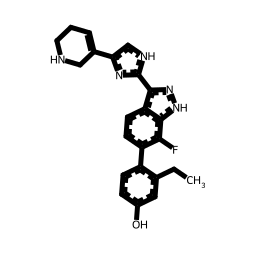 CCc1cc(O)ccc1-c1ccc2c(-c3nc(C4=CCCNC4)c[nH]3)n[nH]c2c1F